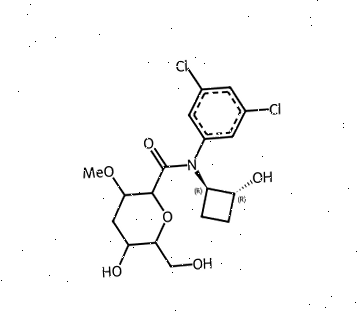 COC1CC(O)C(CO)OC1C(=O)N(c1cc(Cl)cc(Cl)c1)[C@@H]1CC[C@H]1O